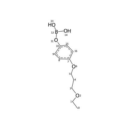 CCOCCCOc1ccc(OB(O)O)cc1